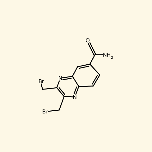 NC(=O)c1ccc2nc(CBr)c(CBr)nc2c1